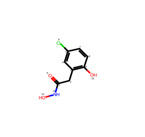 O=C(Cc1cc(Cl)ccc1O)NO